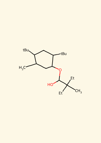 CCC(C)(CC)C(O)OC1CC(C)C(C(C)(C)C)CC1C(C)(C)C